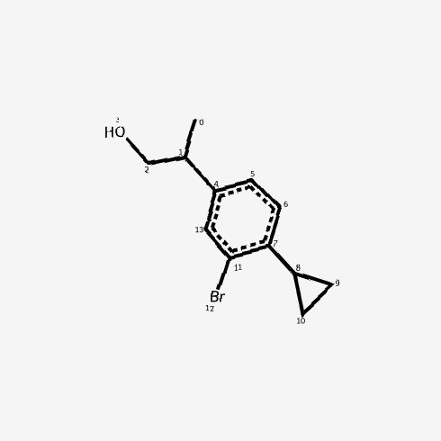 C[C](CO)c1ccc(C2CC2)c(Br)c1